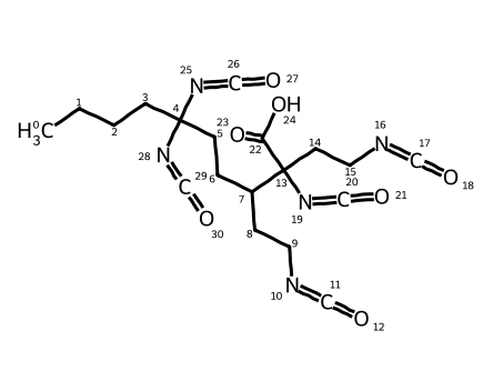 CCCCC(CCC(CCN=C=O)C(CCN=C=O)(N=C=O)C(=O)O)(N=C=O)N=C=O